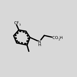 Cc1ccc(C(F)(F)F)cc1NCC(=O)O